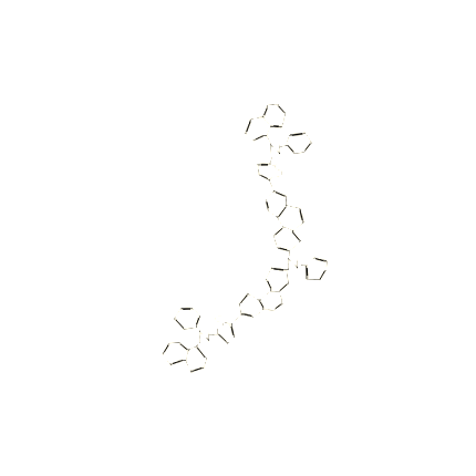 c1ccc(N(c2ccc3c(ccc4cc(-c5ccc(N(c6ccccc6)c6cccc7ccccc67)s5)ccc43)c2)c2ccc3c(ccc4cc(-c5ccc(N(c6ccccc6)c6cccc7ccccc67)s5)ccc43)c2)cc1